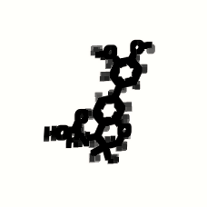 COc1ccc(-c2ccc3c(c2)OCC(C)(C)C3NC(=O)O)cc1OC